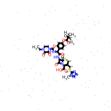 CCN1CCN(C(=O)NC(C(=O)N[C@@H]2C(=O)N3C(C(=O)O)=C(CSc4nnnn4C)CS[C@H]23)c2ccc(OC(=O)C(C)(C)C)cc2)C(=O)C1=O